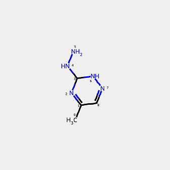 CC1=NC(NN)NN=C1